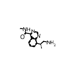 CNC(=O)c1ncnc2c([C@H](C)CN)cccc12